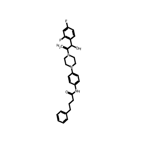 C=C(C(O)c1ccc(F)cc1F)N1CCN(c2ccc(NC(=O)CCCc3ccccc3)cc2)CC1